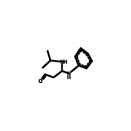 CC(C)NC(CC=O)Nc1ccccc1